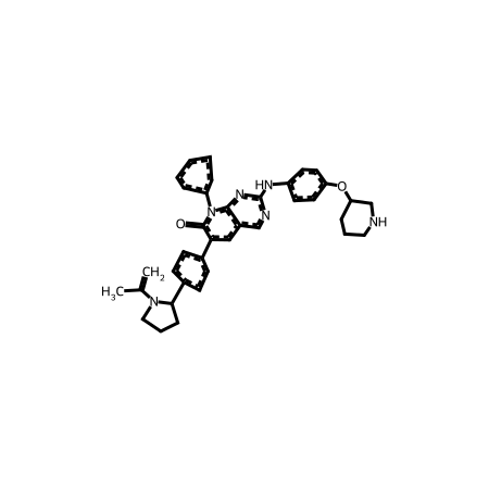 C=C(C)N1CCCC1c1ccc(-c2cc3cnc(Nc4ccc(OC5CCCNC5)cc4)nc3n(-c3ccccc3)c2=O)cc1